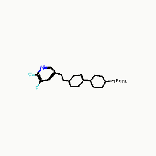 CCCCCC1CCC(C2CCC(CCc3cnc(F)c(F)c3)CC2)CC1